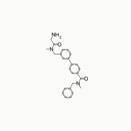 CN(Cc1cccc(-c2ccc(C(=O)N(C)Cc3ccccc3)cc2)c1)C(=O)CN